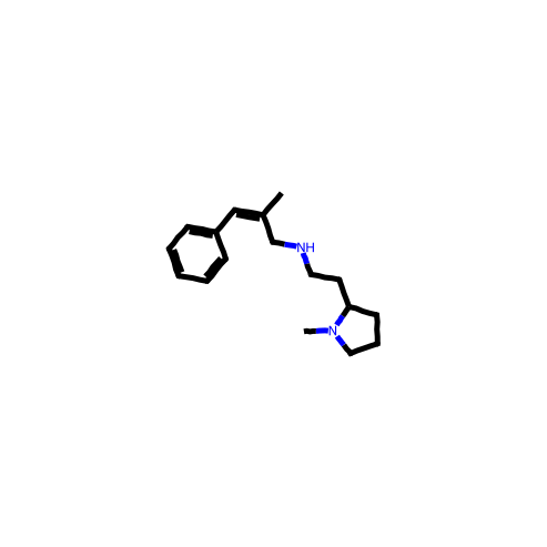 CC(=Cc1ccccc1)CNCCC1CCCN1C